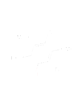 CCc1c(O)c(S(=O)(=O)O)c(OC)c(C(C)CC)c1OC